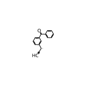 C#C[CH]c1cccc(C(=O)c2ccccc2)c1